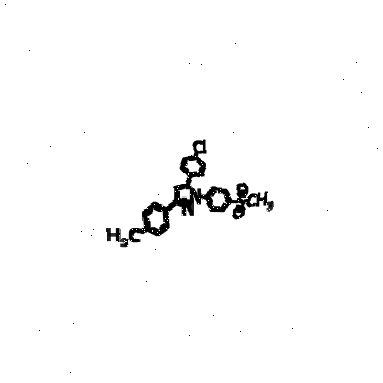 Cc1ccc(-c2cc(-c3ccc(Cl)cc3)n(-c3ccc(S(C)(=O)=O)cc3)n2)cc1